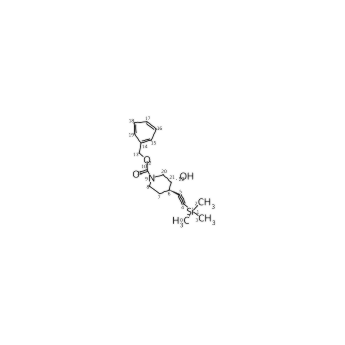 C[Si](C)(C)C#C[C@H]1CCN(C(=O)OCc2ccccc2)C[C@@H]1O